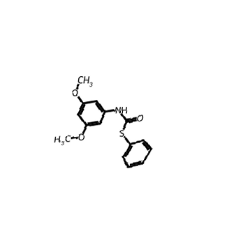 COc1cc(NC(=O)Sc2ccccc2)cc(OC)c1